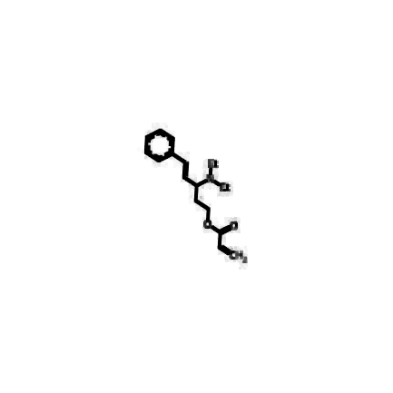 C=CC(=O)OCCC(C=Cc1ccccc1)N(CC)CC